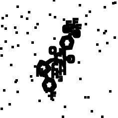 CC1(Cc2ccnc(-c3ccc(F)cc3)c2)NC(=O)N(c2ccc(S(=O)(=O)C(F)(F)F)cc2)C1=O